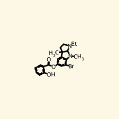 CCN1CCC2(C)c3cc(OC(=O)c4ccccc4O)cc(Br)c3N(C)C12